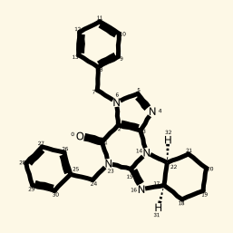 O=C1c2c(ncn2Cc2ccccc2)N2C(=N[C@@H]3CCCC[C@@H]32)N1Cc1ccccc1